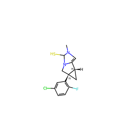 CN1C=C2[C@@H]3C[C@]3(c3cc(Cl)ccc3F)CN2C1S